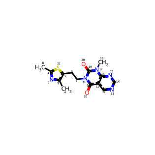 Cc1nc(C)c(CCn2c(=O)c3cncnc3n(C)c2=O)s1